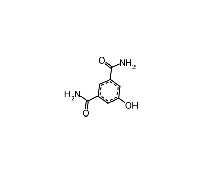 NC(=O)c1cc(O)cc(C(N)=O)c1